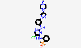 CN1CCN(c2cnn(-c3cccc(Nc4ncc(Cl)c(Nc5ccccc5P(C)(C)=O)n4)c3)c2)CC1